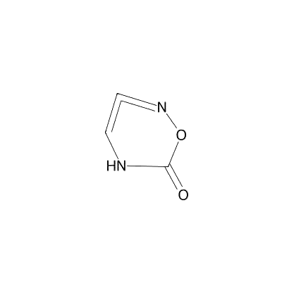 O=C1NC=C=NO1